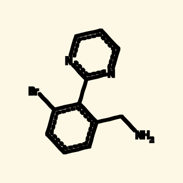 NCc1cccc(Br)c1-c1ncccn1